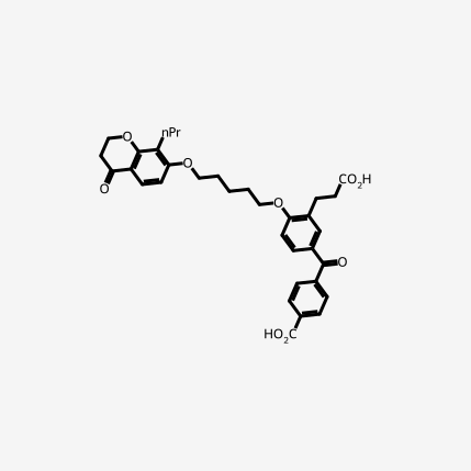 CCCc1c(OCCCCCOc2ccc(C(=O)c3ccc(C(=O)O)cc3)cc2CCC(=O)O)ccc2c1OCCC2=O